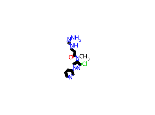 CN(C(=O)CCN/C=N\N)c1cn(-c2cccnc2)nc1Cl